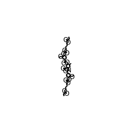 C=CC(=O)OCCCCOC(=O)Oc1ccc(C(=O)Oc2cc3c(=O)oc(-c4ccc(OC(=O)OCCCCOC(=O)C=C)c(OC)c4)nc3cc2C)cc1OC